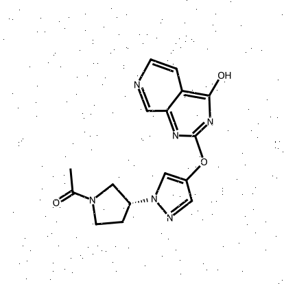 CC(=O)N1CC[C@@H](n2cc(Oc3nc(O)c4ccncc4n3)cn2)C1